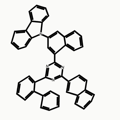 c1ccc(-c2ccccc2-c2nc(-c3ccc4ccccc4c3)nc(-c3cc(-n4c5ccccc5c5ccccc54)cc4ccccc34)n2)cc1